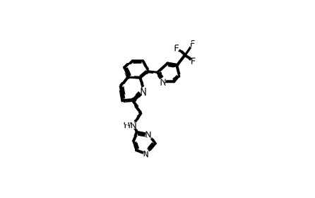 FC(F)(F)c1ccnc(-c2cccc3ccc(CNc4ccncn4)nc23)c1